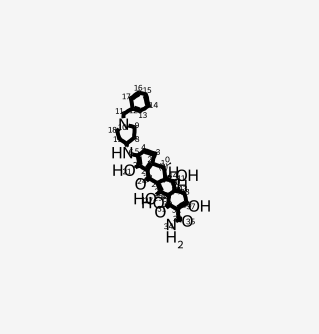 C[C@H]1c2ccc(NC3CCN(Cc4ccccc4)CC3)c(O)c2C(=O)C2=C(O)[C@]3(O)C(=O)C(C(N)=O)=C(O)C[C@@H]3[C@@H](O)[C@@H]21